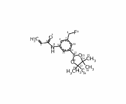 C=CC(=O)Nc1cc(CF)cc(B2OC(C)(C)C(C)(C)O2)c1